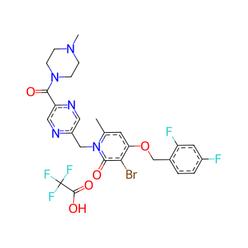 Cc1cc(OCc2ccc(F)cc2F)c(Br)c(=O)n1Cc1cnc(C(=O)N2CCN(C)CC2)cn1.O=C(O)C(F)(F)F